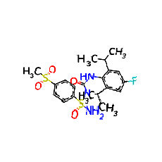 CC(C)c1cc(F)cc(C(C)C)c1NC(=O)N=S(N)(=O)c1ccc(S(C)(=O)=O)cc1